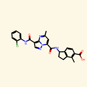 Cc1cc(C(=O)NC2CCc3c2ccc(C(=O)O)c3C)n2ncc(C(=O)Nc3ccccc3Cl)c2n1